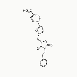 O=C(O)c1ccc(-c2ccc(/C=C3\SC(=S)N(CCc4ccccc4)C3=O)o2)cc1